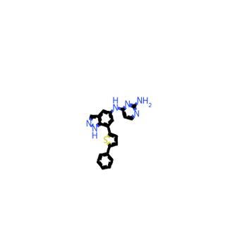 Nc1nccc(Nc2cc(-c3ccc(-c4ccccc4)s3)c3[nH]ncc3c2)n1